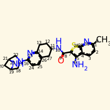 Cc1ccc2c(N)c(C(=O)N[C@H]3CCc4nc(N5CC6CC(C5)N6)ccc4C3)sc2n1